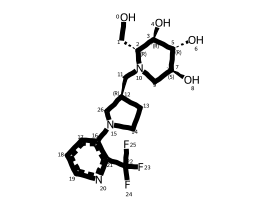 OC[C@@H]1[C@@H](O)[C@H](O)[C@@H](O)CN1C[C@H]1CCN(c2cccnc2C(F)(F)F)C1